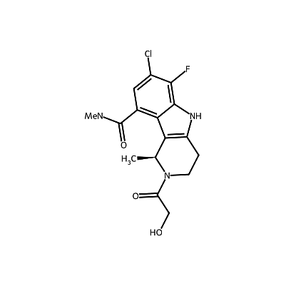 CNC(=O)c1cc(Cl)c(F)c2[nH]c3c(c12)[C@H](C)N(C(=O)CO)CC3